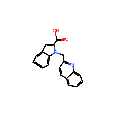 O=C(O)c1cc2ccccc2n1Cc1ccc2ccccc2n1